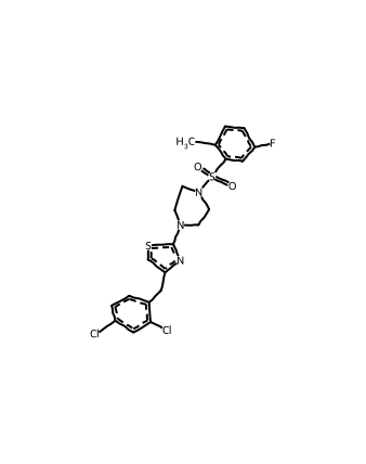 Cc1ccc(F)cc1S(=O)(=O)N1CCN(c2nc(Cc3ccc(Cl)cc3Cl)cs2)CC1